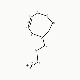 [CH2]CCCC1C/C=C\CCCC1